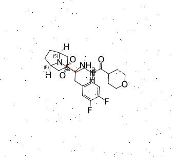 NC(Cc1cc(F)c(F)cc1F)[C@@H]1C[C@H]2CC[C@@H](C1)N2S(=O)(=O)CCNC(=O)C1CCOCC1